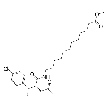 COC(=O)CCCCCCCCCCCNC(=O)[C@@H](CC(C)=O)[C@H](C)c1ccc(Cl)cc1